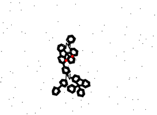 c1ccc(-c2ccc(N(c3ccc(-c4ccc5c(c4)C4(c6ccccc6)c6ccccc6N(c6ccccc6)c6cccc-5c64)cc3)c3ccc4c(c3)C(c3ccccc3)(c3ccccc3)c3ccccc3-4)cc2)cc1